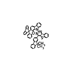 CC1(C)c2ccccc2-c2ccc(-c3nc(-n4c5ccccc5c5ccc6c(c54)Oc4ccccc4C64c5ccccc5-c5ccccc54)nc4c3sc3ccccc34)cc21